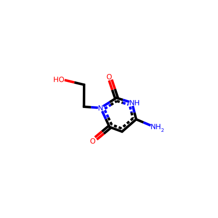 Nc1cc(=O)n(CCO)c(=O)[nH]1